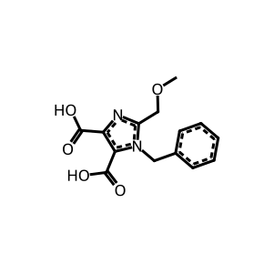 COCc1nc(C(=O)O)c(C(=O)O)n1Cc1ccccc1